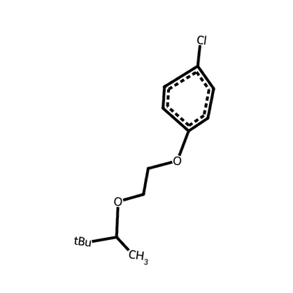 CC(OCCOc1ccc(Cl)cc1)C(C)(C)C